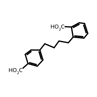 O=C(O)c1ccc(CCCCc2ccccc2C(=O)O)cc1